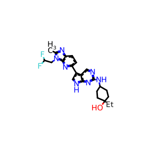 CCC1(O)CCC(Nc2ncc3c(-c4ccc5nc(C)n(CC(F)F)c5n4)c[nH]c3n2)CC1